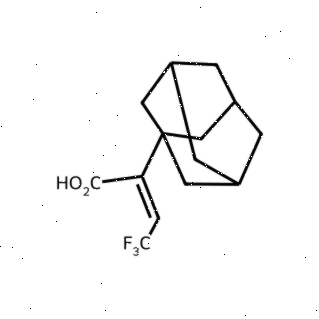 O=C(O)C(=CC(F)(F)F)C12CC3CC(CC(C3)C1)C2